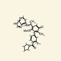 COc1c(C(C)Nc2ncnc3[nH]cnc23)cc(Cl)c(C)c1-c1ccc(C(=O)N2CCCC2)c(F)c1